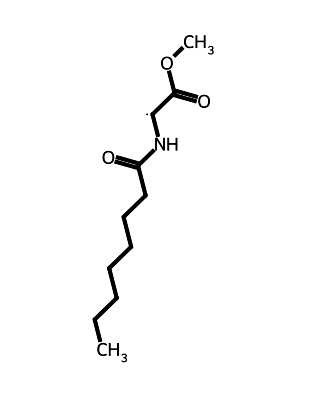 CCCCCCCC(=O)N[CH]C(=O)OC